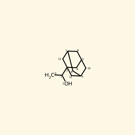 [CH2]C(O)C12CC3CC(CC(C3)C1)C2